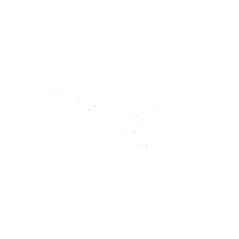 COc1ccc(/C=C/c2cc(OC)c(C3CC(O)C3)c(OC)c2)cc1